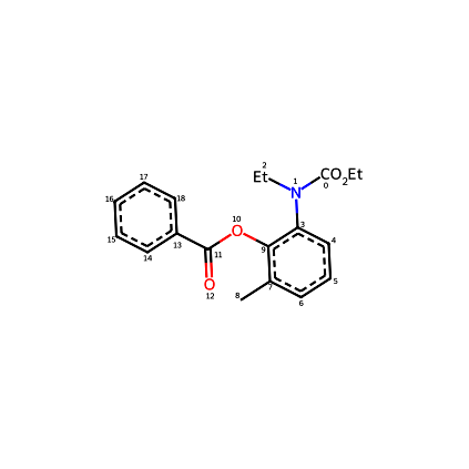 CCOC(=O)N(CC)c1cccc(C)c1OC(=O)c1ccccc1